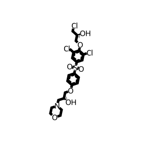 O=S(=O)(c1ccc(OC[C@@H](O)CN2CCOCC2)cc1)c1cc(Cl)c(OC[C@H](O)CCl)c(Cl)c1